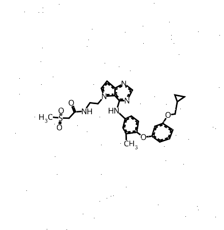 Cc1cc(Nc2ncnc3ccn(CCNC(=O)CS(C)(=O)=O)c23)ccc1Oc1cccc(OCC2CC2)c1